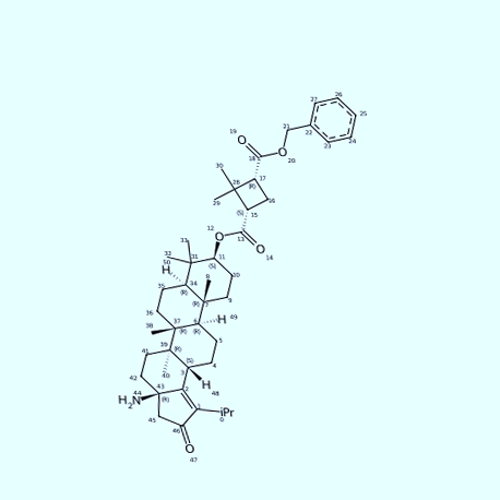 CC(C)C1=C2[C@H]3CC[C@@H]4[C@@]5(C)CC[C@H](OC(=O)[C@H]6C[C@@H](C(=O)OCc7ccccc7)C6(C)C)C(C)(C)[C@@H]5CC[C@@]4(C)[C@]3(C)CC[C@@]2(N)CC1=O